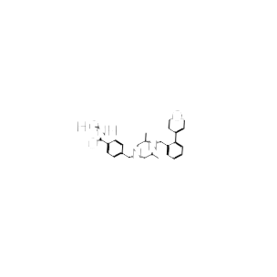 CC1CN(Cc2ccc(C(=O)NO)cc2)CC(C)N1Cc1ccccc1C1=CCOCC1